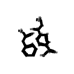 CC(=O)Cc1ccccc1.CCC(=O)c1ccc([N+](=O)[O-])cc1